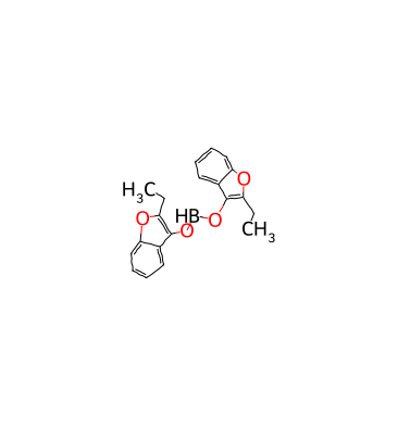 CCc1oc2ccccc2c1OBOc1c(CC)oc2ccccc12